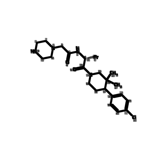 CC(C)[C@@H](NC(=O)CN1CCNCC1)C(=O)N1CCC(c2ccc(Cl)cc2)C(C)(C)C1